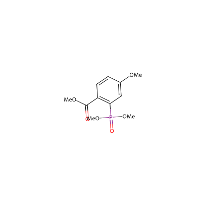 COC(=O)c1ccc(OC)cc1P(=O)(OC)OC